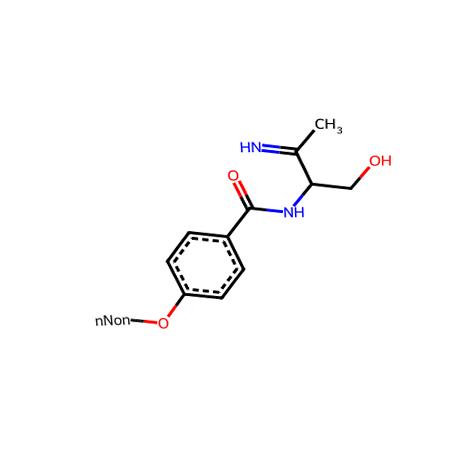 CCCCCCCCCOc1ccc(C(=O)NC(CO)C(C)=N)cc1